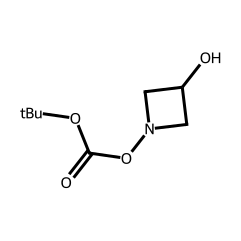 CC(C)(C)OC(=O)ON1CC(O)C1